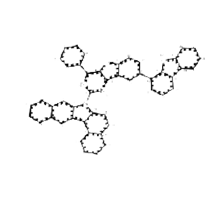 c1ccc(-c2nc(-n3c4cc5ccccc5cc4c4c5ccccc5ccc43)nc3c2oc2ccc(-c4cccc5c4oc4ccccc45)cc23)cc1